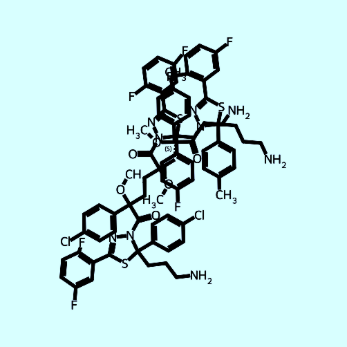 COC(CCC(OC)(C(=O)N1N=C(c2cc(F)ccc2F)SC1(CCCN)c1ccc(Cl)cc1)c1ccc(Cl)cc1)(C[C@@](OC)(C(=O)N1N=C(c2cc(F)ccc2F)SC1(CCCN)c1ccc(C)cc1)c1ccc(C)cc1)C(=O)N1N=C(c2cc(F)ccc2F)SC1(CCCN)c1ccc(F)cc1